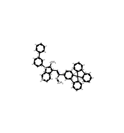 C=N/C(=C\c1c(C)n(-c2cccc(-c3ccccc3)c2)c2cnccc12)c1ccc2c(c1)-c1ccccc1C21c2ccccc2-c2ccccc21